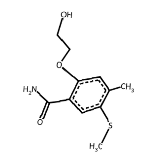 CSc1cc(C(N)=O)c(OCCO)cc1C